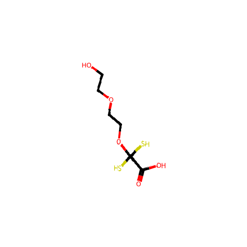 O=C(O)C(S)(S)OCCOCCO